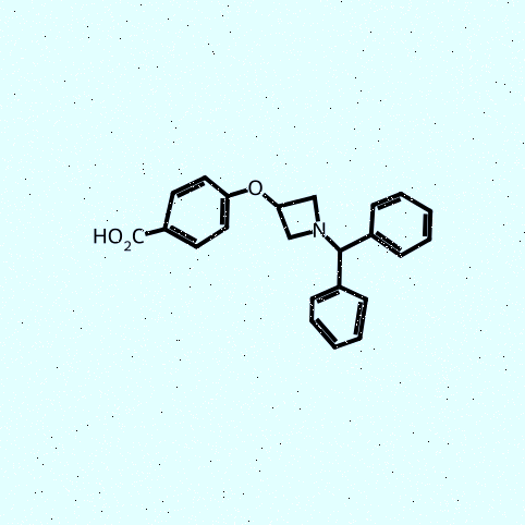 O=C(O)c1ccc(OC2CN(C(c3ccccc3)c3ccccc3)C2)cc1